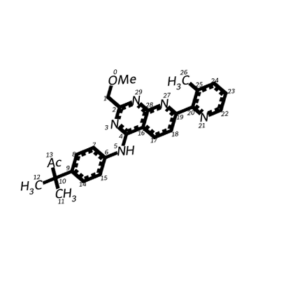 COCc1nc(Nc2ccc(C(C)(C)C(C)=O)cc2)c2ccc(-c3ncccc3C)nc2n1